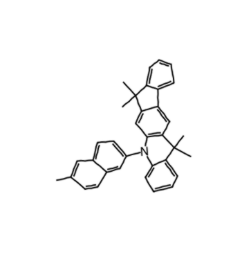 Cc1ccc2cc(N3c4ccccc4C(C)(C)c4cc5c(cc43)C(C)(C)c3ccccc3-5)ccc2c1